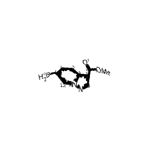 Bc1ccc2c(C(=O)OC)cnn2c1